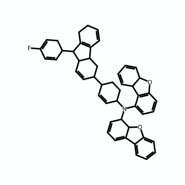 FC1=CCC(C2C3=C(C=CCC3)C3CC(C4C=CC(N(c5cccc6c5C5C=CC=CC5O6)C5C=CC=C6c7ccccc7OC65)CC4)C=CC32)C=C1